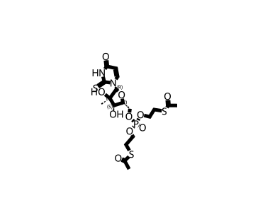 CC(=O)SCCOP(=O)(OCCSC(C)=O)OC[C@H]1O[C@@H](n2ccc(=O)[nH]c2=S)[C@](C)(O)[C@H]1O